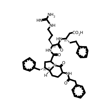 N=C(N)NCCC[C@H](NC(=O)C1C[C@@H](Cc2ccccc2)[C@@H]2CCC(NC(=O)Cc3ccccc3)C(=O)N12)C(=O)N[C@@H](CCc1ccccc1)CC(=O)O